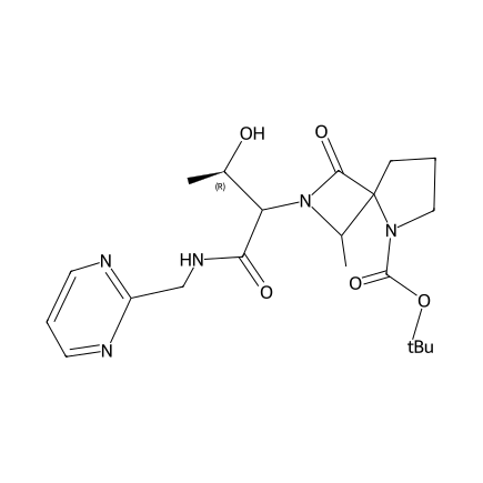 CC1N(C(C(=O)NCc2ncccn2)[C@@H](C)O)C(=O)C12CCCN2C(=O)OC(C)(C)C